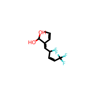 C/C=C\C(=C/C(F)/C=C\C(F)(F)F)C(O)O